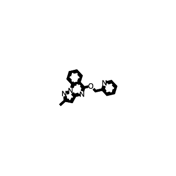 Cc1cc2nc(OCc3ccccn3)c3ccccc3n2n1